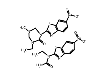 CCN(C(N)=O)c1nc2ccc([N+](=O)[O-])cc2s1.CCN1CN(C)CN(c2nc3ccc([N+](=O)[O-])cc3s2)C1=O